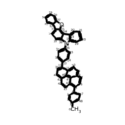 Cc1ccc(-c2ccc3ccc4c(-c5ccc(-n6c7ccccc7c7c8oc9ccccc9c8ccc76)cc5)ccc5ccc2c3c54)cc1